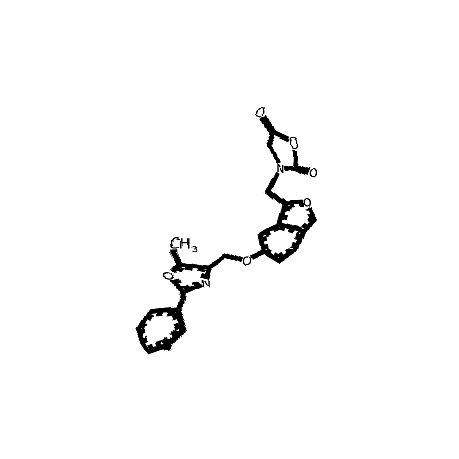 Cc1oc(-c2ccccc2)nc1COc1ccc2coc(CN3CC(=O)OC3=O)c2c1